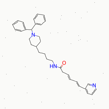 O=C(CC=CC=Cc1cccnc1)NCCCCC1CCN(C(c2ccccc2)c2ccccc2)CC1